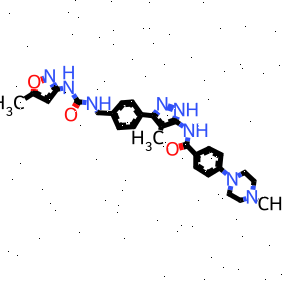 Cc1cc(NC(=O)NCc2ccc(-c3n[nH]c(NC(=O)c4ccc(N5CCN(C)CC5)cc4)c3C)cc2)no1